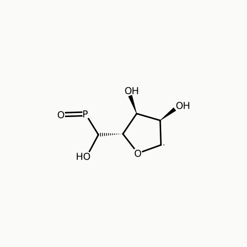 O=PC(O)[C@H]1O[CH][C@H](O)[C@@H]1O